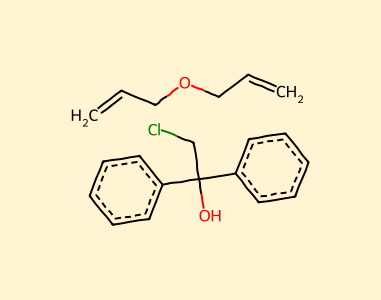 C=CCOCC=C.OC(CCl)(c1ccccc1)c1ccccc1